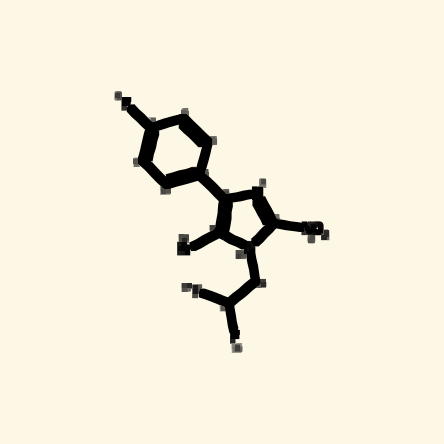 O=[N+]([O-])c1nc(-c2ccc(F)cc2)c(Br)n1CC(F)F